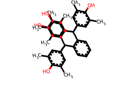 Cc1cc(C(c2cc(C)c(O)c(C)c2)c2ccccc2C(c2cc(C)c(O)c(C)c2)c2cc(C)c(O)c(C)c2)cc(C)c1O